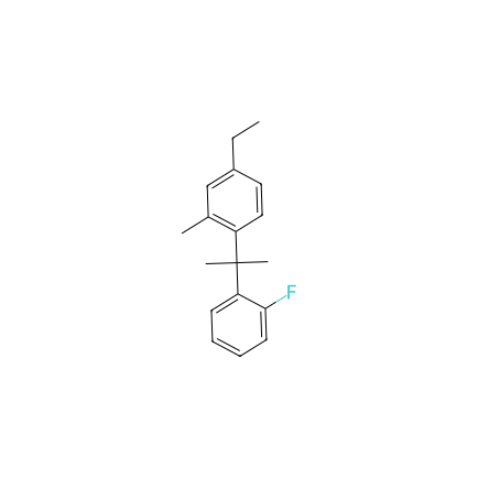 CCc1ccc(C(C)(C)c2ccccc2F)c(C)c1